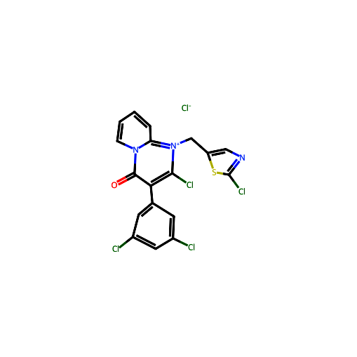 O=c1c(-c2cc(Cl)cc(Cl)c2)c(Cl)[n+](Cc2cnc(Cl)s2)c2ccccn12.[Cl-]